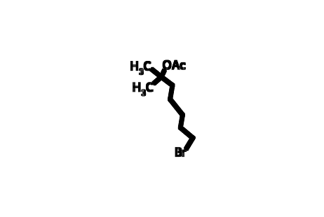 CC(=O)OC(C)(C)CCCCCBr